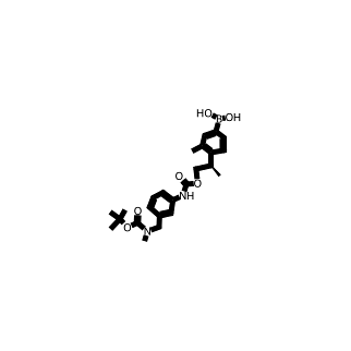 Cc1cc(B(O)O)ccc1[C@@H](C)COC(=O)Nc1cccc(CN(C)C(=O)OC(C)(C)C)c1